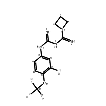 N=C(NC(=N)N1CCC1)Nc1ccc(OC(F)(F)F)c(Cl)c1